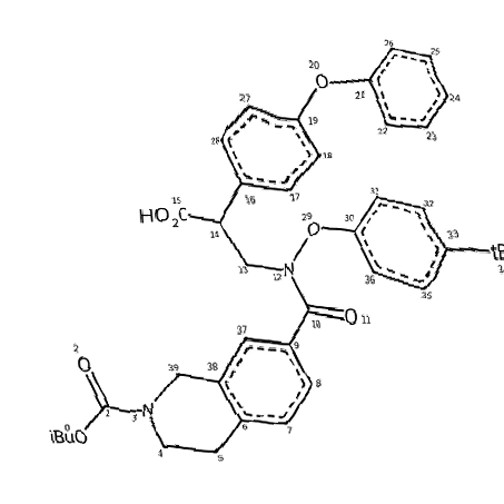 CC(C)COC(=O)N1CCc2ccc(C(=O)N(CC(C(=O)O)c3ccc(Oc4ccccc4)cc3)Oc3ccc(C(C)(C)C)cc3)cc2C1